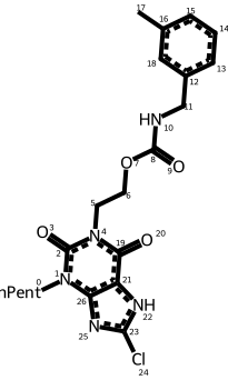 CCCCCn1c(=O)n(CCOC(=O)NCc2cccc(C)c2)c(=O)c2[nH]c(Cl)nc21